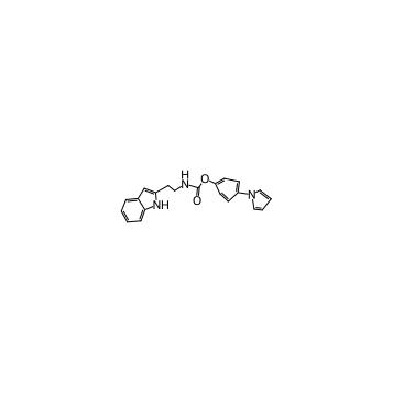 O=C(NCCc1cc2ccccc2[nH]1)Oc1ccc(-n2cccc2)cc1